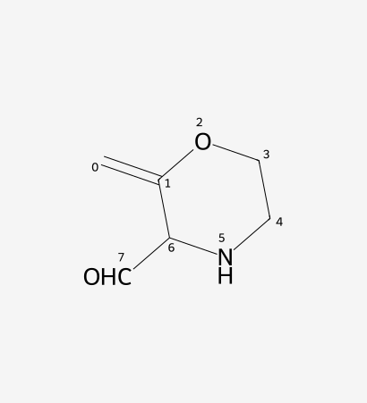 C=C1OCCNC1C=O